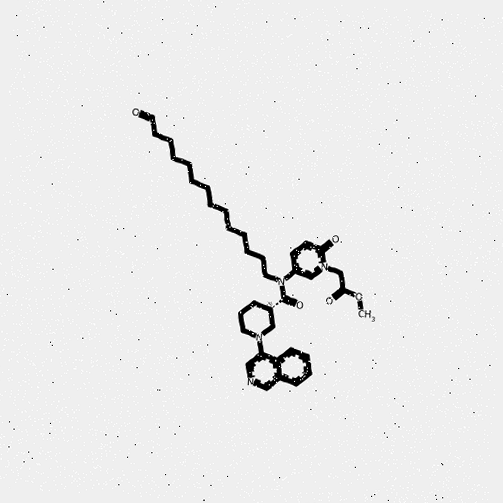 COC(=O)Cn1cc(N(CCCCCCCCCCCCCC=O)C(=O)[C@H]2CCCN(c3cncc4ccccc34)C2)ccc1=O